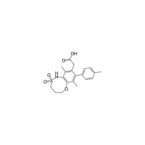 Cc1ccc(-c2c(C)c3c(c(C)c2CC(=O)O)NS(=O)(=O)CCCO3)cc1